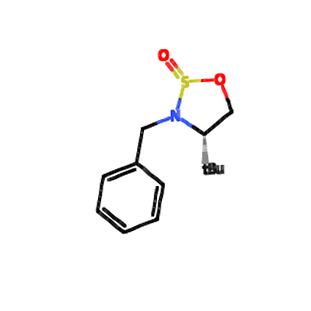 CC(C)(C)[C@H]1COS(=O)N1Cc1ccccc1